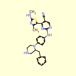 CNc1nc(C)c(-c2nc(Nc3ccc(N4CCNCC4Cc4ccccc4)cc3)ncc2C#N)s1